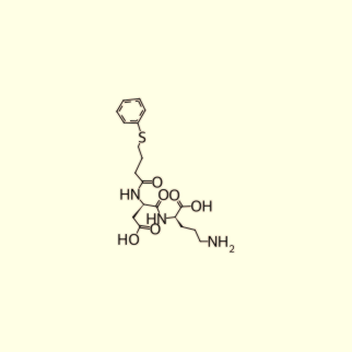 NCCC[C@@H](NC(=O)[C@@H](CC(=O)O)NC(=O)CCCSc1ccccc1)C(=O)O